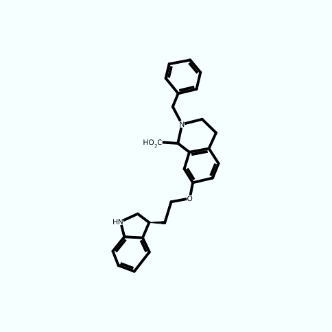 O=C(O)C1c2cc(OCC[C@@H]3CNc4ccccc43)ccc2CCN1Cc1ccccc1